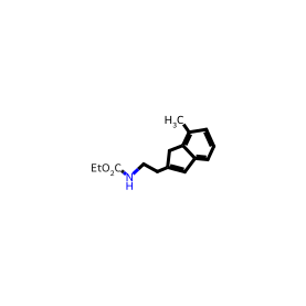 CCOC(=O)NCCC1=Cc2cccc(C)c2C1